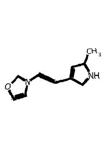 CC1C=C(C=CN2C=[C]OC2)CN1